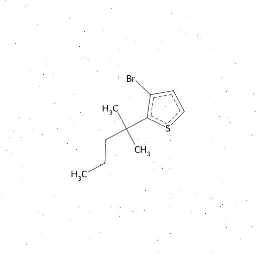 CCCC(C)(C)c1sccc1Br